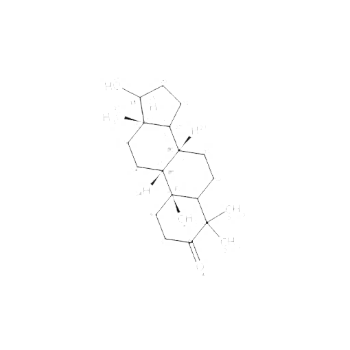 CC1(C)C(=O)CC[C@@]2(C)C1CC[C@@H]1[C@H]2CC[C@]2(C)C(O)CC[C@@H]12